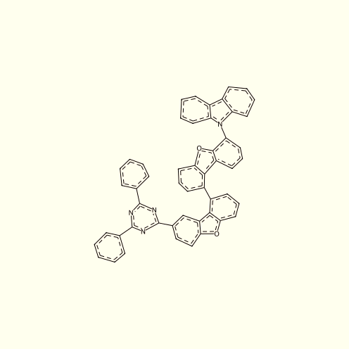 c1ccc(-c2nc(-c3ccccc3)nc(-c3ccc4oc5cccc(-c6cccc7oc8c(-n9c%10ccccc%10c%10ccccc%109)cccc8c67)c5c4c3)n2)cc1